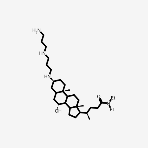 CCN(CC)C(=O)CC[C@@H](C)C1CCC2C3C(CC[C@@]21C)[C@@]1(C)CC[C@H](NCCCNCCCN)CC1C[C@H]3O